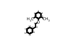 Cc1cccc(C)c1OCCc1ccccc1